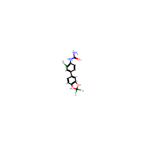 NC(=O)Nc1ccc(-c2ccc3c(c2)OC(F)(F)O3)cc1F